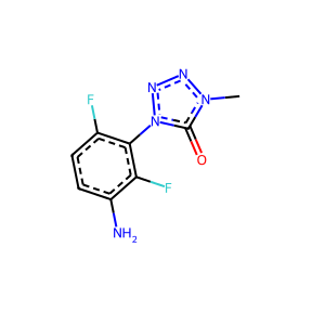 Cn1nnn(-c2c(F)ccc(N)c2F)c1=O